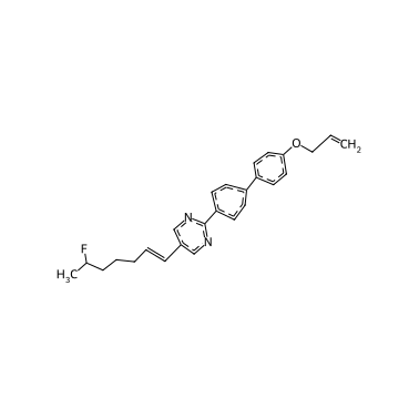 C=CCOc1ccc(-c2ccc(-c3ncc(C=CCCCC(C)F)cn3)cc2)cc1